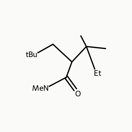 CCC(C)(C)C(CC(C)(C)C)C(=O)NC